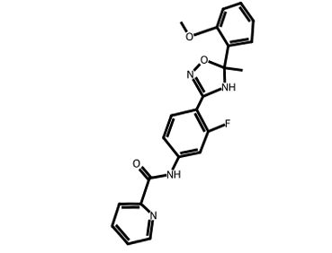 COc1ccccc1C1(C)NC(c2ccc(NC(=O)c3ccccn3)cc2F)=NO1